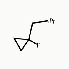 [CH2]C(C)CC1(F)CC1